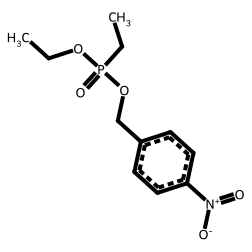 CCOP(=O)(CC)OCc1ccc([N+](=O)[O-])cc1